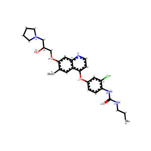 COc1cc2c(Oc3ccc(NC(=O)NCCC(C)(C)C)c(Cl)c3)ccnc2cc1OCC(O)CN1CCCC1